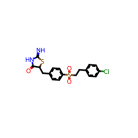 N=C1NC(=O)C(Cc2ccc(S(=O)(=O)CCc3ccc(Cl)cc3)cc2)S1